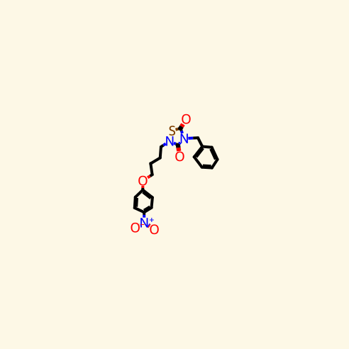 O=c1sn(CCCCOc2ccc([N+](=O)[O-])cc2)c(=O)n1Cc1ccccc1